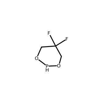 FC1(F)COPOC1